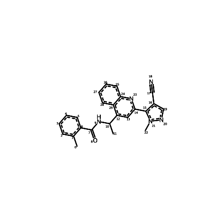 Cc1ccccc1C(=O)NC(C)c1cc(-c2c(C#N)cnn2C)nc2ccccc12